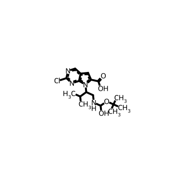 CC(C)C(CNC(O)OC(C)(C)C)n1c(C(=O)O)cc2cnc(Cl)nc21